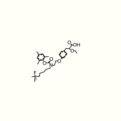 CCOC(Cc1ccc(OCCN(CCCCCC(C)(F)F)C(=O)Oc2c(C)cc(C)cc2C)cc1)C(=O)O